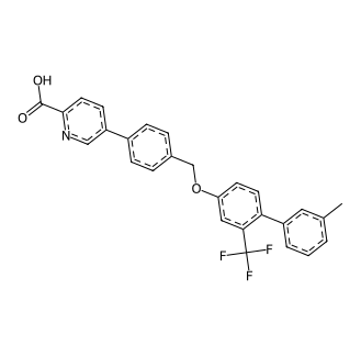 Cc1cccc(-c2ccc(OCc3ccc(-c4ccc(C(=O)O)nc4)cc3)cc2C(F)(F)F)c1